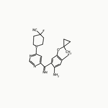 CC1(Oc2cc(C(=N)c3cc(N4CCC(F)(C#N)CC4)ncn3)c(N)cc2F)CC1